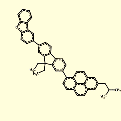 CCC1(CC)c2cc(-c3ccc4oc5ccccc5c4c3)ccc2-c2ccc(-c3ccc4ccc5cc(CC(C)C)cc6ccc3c4c56)cc21